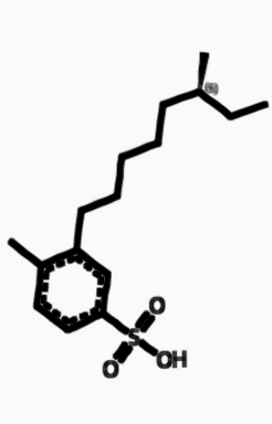 CC[C@H](C)CCCCCc1cc(S(=O)(=O)O)ccc1C